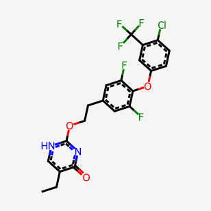 CCc1c[nH]c(OCCc2cc(F)c(Oc3ccc(Cl)c(C(F)(F)F)c3)c(F)c2)nc1=O